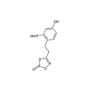 COc1cc(O)ccc1CCc1noc(=O)o1